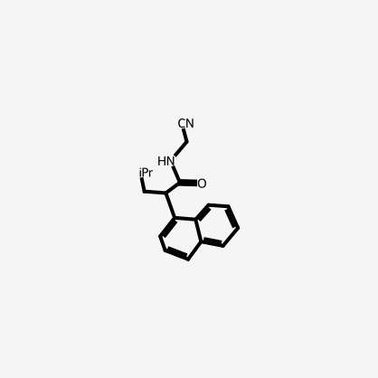 CC(C)CC(C(=O)NCC#N)c1cccc2ccccc12